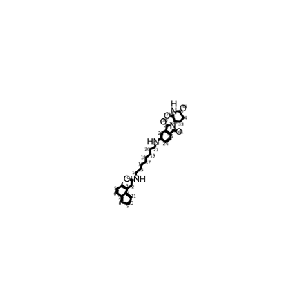 O=C(Cc1cccc2ccccc12)NCCCCCCCCNc1ccc2c(c1)C(=O)N(C1CCC(=O)NC1=O)C2=O